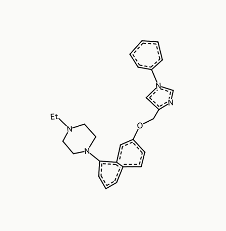 CCN1CCN(c2cccc3ccc(OCc4cn(-c5ccccc5)cn4)cc23)CC1